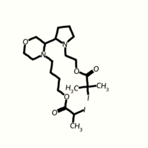 CC(I)C(=O)OCCCCN1CCOCC1C1CCCN1CCOC(=O)C(C)(C)I